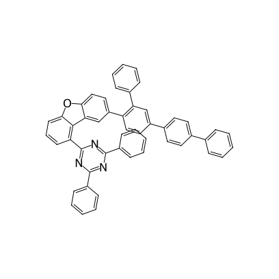 c1ccc(-c2ccc(-c3ccc(-c4ccc5oc6cccc(-c7nc(-c8ccccc8)nc(-c8ccccc8)n7)c6c5c4)c(-c4ccccc4)c3)cc2)cc1